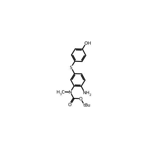 CN(C(=O)OC(C)(C)C)c1cc(Sc2ccc(O)cc2)ccc1N